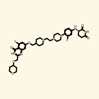 O=C1CC[C@@H](Nc2ccc(N3CCN(CCN4CCC(COc5cc(F)c6c(=O)[nH]c(COC7CCOCC7)nc6c5)CC4)CC3)c(F)c2)C(=O)N1